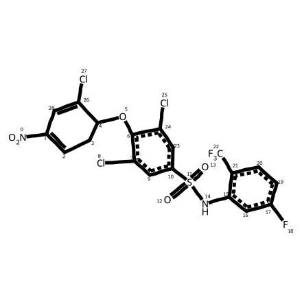 O=[N+]([O-])C1=CCC(Oc2c(Cl)cc(S(=O)(=O)Nc3cc(F)ccc3C(F)(F)F)cc2Cl)C(Cl)=C1